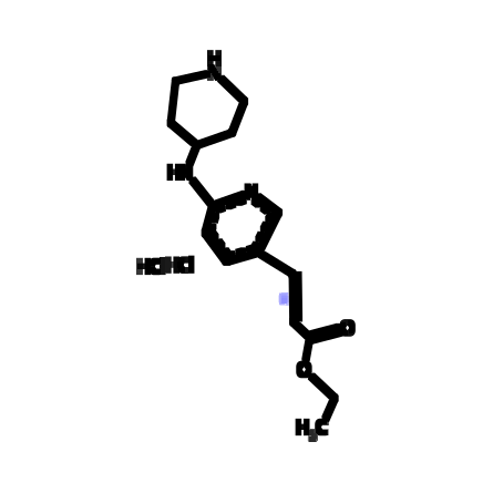 CCOC(=O)/C=C/c1ccc(NC2CCNCC2)nc1.Cl.Cl